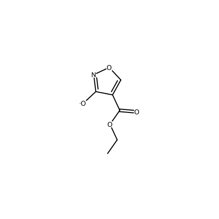 CCOC(=O)c1conc1[O]